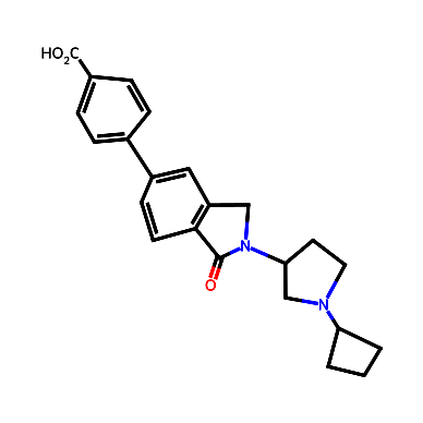 O=C(O)c1ccc(-c2ccc3c(c2)CN(C2CCN(C4CCC4)C2)C3=O)cc1